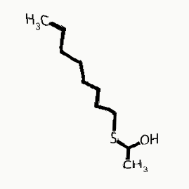 CCCCCCCCSC(C)O